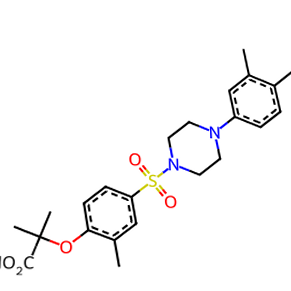 Cc1ccc(N2CCN(S(=O)(=O)c3ccc(OC(C)(C)C(=O)O)c(C)c3)CC2)cc1C